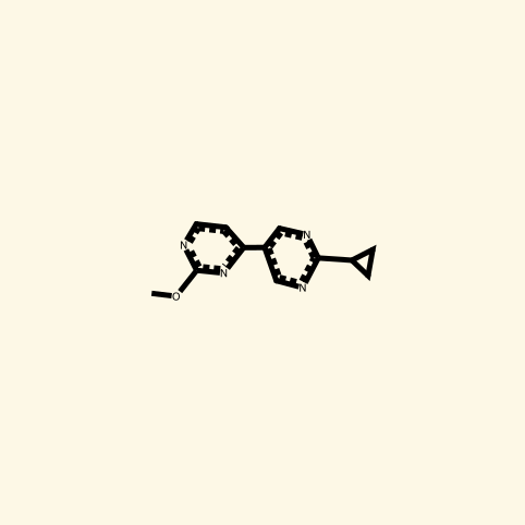 COc1nc[c]c(-c2cnc(C3CC3)nc2)n1